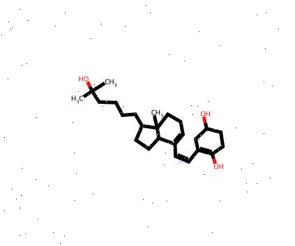 CC(C)(O)CCCCC1CCC2C(/C=C\C3=C(O)CCC(O)C3)=CCCC12C